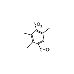 Cc1cc([C]=O)c(C)c(C)c1[N+](=O)[O-]